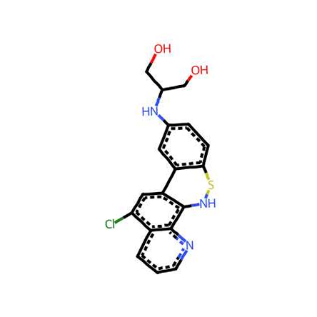 OCC(CO)Nc1ccc2c(c1)-c1cc(Cl)c3cccnc3c1NS2